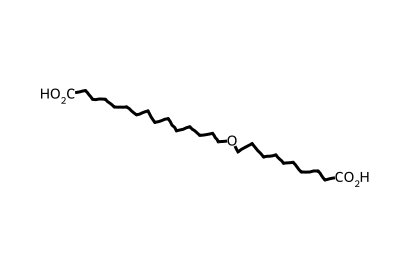 O=C(O)CCCCCCCCCCCCCCOCCCCCCCCCC(=O)O